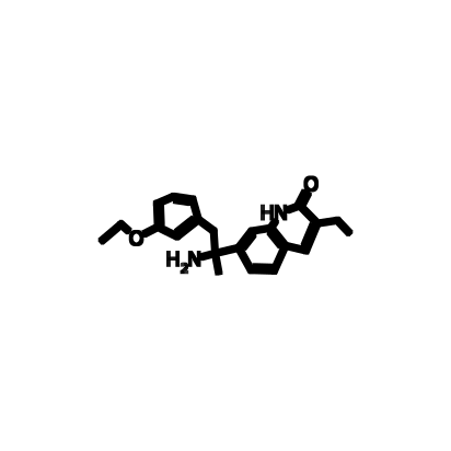 CCOc1cccc(CC(C)(N)c2ccc3cc(CC)c(=O)[nH]c3c2)c1